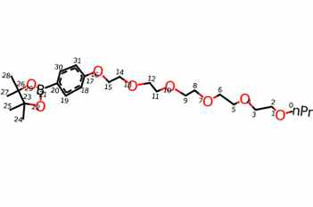 CCCOCCOCCOCCOCCOCCOc1ccc(B2OC(C)(C)C(C)(C)O2)cc1